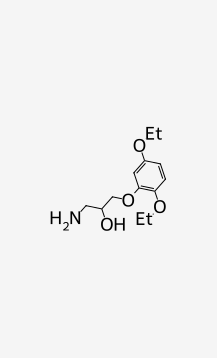 CCOc1ccc(OCC)c(OCC(O)CN)c1